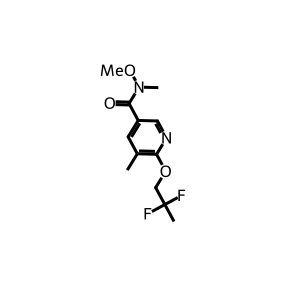 CON(C)C(=O)c1cnc(OCC(C)(F)F)c(C)c1